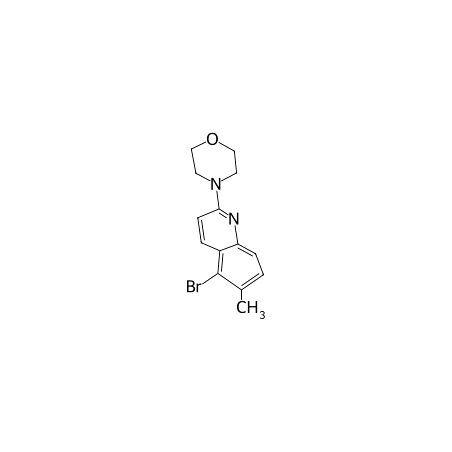 Cc1ccc2nc(N3CCOCC3)ccc2c1Br